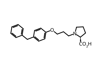 O=C(O)[C@@H]1CCCN1CCCOc1ccc(Cc2ccccc2)cc1